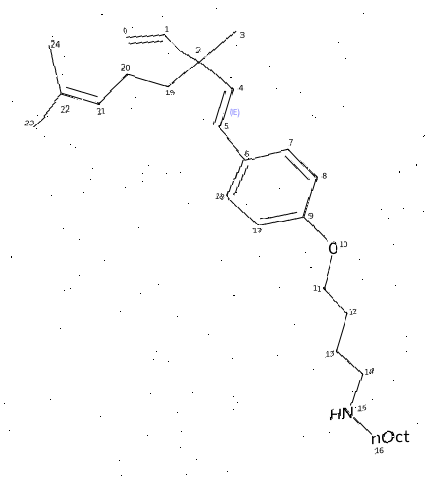 C=CC(C)(/C=C/c1ccc(OCCCCNCCCCCCCC)cc1)CCC=C(C)C